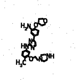 Cc1ccc(Nc2nccc(-c3ccc(OC4CCOCC4)c(N)c3)n2)cc1OCCN1CCNCC1